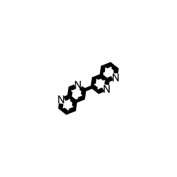 c1cnc2cnc(-c3cnc4ncccc4c3)cc2c1